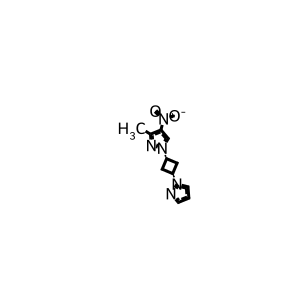 Cc1nn([C@H]2C[C@@H](n3cccn3)C2)cc1[N+](=O)[O-]